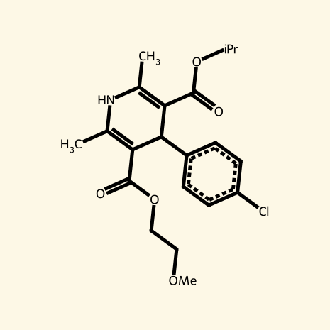 COCCOC(=O)C1=C(C)NC(C)=C(C(=O)OC(C)C)C1c1ccc(Cl)cc1